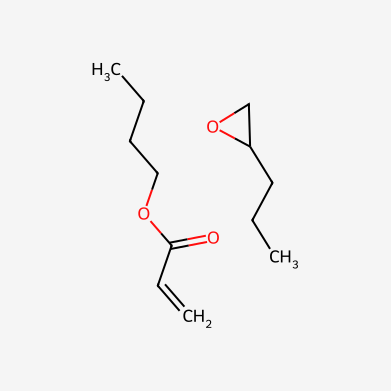 C=CC(=O)OCCCC.CCCC1CO1